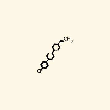 CC=C[C@H]1CC[C@H]([C@H]2CC[C@H](c3ccc(Cl)cc3)CC2)CC1